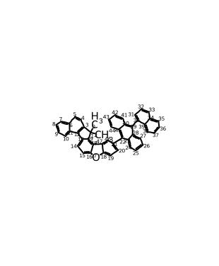 CC1(C)c2ccc3ccccc3c2-c2ccc3oc4ccc(-c5c6ccccc6c(-c6cccc7ccccc67)c6ccccc56)cc4c3c21